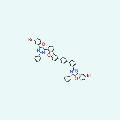 Brc1ccc2oc3c(-c4ccccc4)nc(-c4cccc(-c5ccc(-c6ccc7oc8c(-c9nc(-c%10ccccc%10)nc%10c9oc9ccc(Br)cc9%10)cccc8c7c6)cc5)c4)nc3c2c1